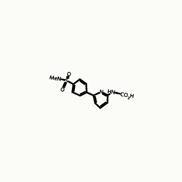 CNS(=O)(=O)c1ccc(-c2cccc(NC(=O)O)n2)cc1